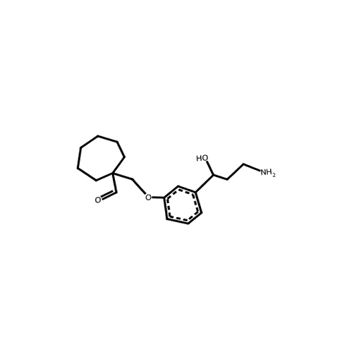 NCCC(O)c1cccc(OCC2(C=O)CCCCCC2)c1